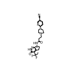 N#Cc1ccc(N2CCN(CCC(=O)N[C@@H]3CCc4c3n[nH]c(=O)c4C(F)(F)F)CC2)nc1